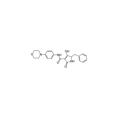 O=C(Nc1ccc(N2CCOCC2)cc1)C1=C(O)C(Cc2ccccc2)NC1=O